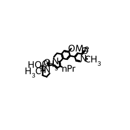 CCCc1cc(C(=O)N2CCC[C@]2(C)[C@@H](C)O)n2c1-c1cc(-c3ccn(C)c(=O)c3)c(OC)cc1CC2